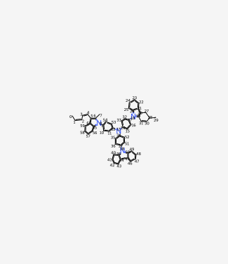 C/C=C\C=C/c1c(C)n(-c2ccc(N(c3ccc(-n4c5c(c6ccccc64)C[C@@H](C)C=C5)cc3)c3ccc(-n4c5ccccc5c5ccccc54)cc3)cc2)c2ccccc12